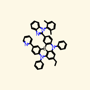 CCc1cc2c3c(c1)N(c1ccccc1)c1ccc(-c4nc5ccccc5n4-c4c(C)cccc4C)cc1B3c1cc(-c3ccccn3)ccc1N2c1ccccc1